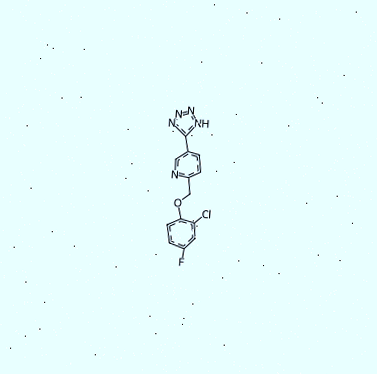 Fc1ccc(OCc2ccc(-c3nnn[nH]3)cn2)c(Cl)c1